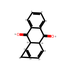 O=C1c2ccccc2C(=O)C2C3=C(C=CC12)C3